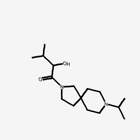 CC(C)C(O)C(=O)N1CCC2(CCN(C(C)C)CC2)C1